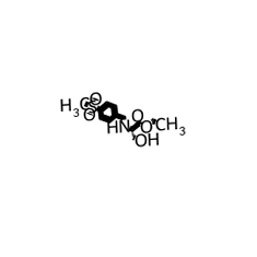 CCOC(=O)[C@H](CO)NCc1ccc(S(C)(=O)=O)cc1